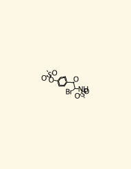 CS(=O)(=O)NC(Br)C(=O)c1ccc(OS(C)(=O)=O)cc1